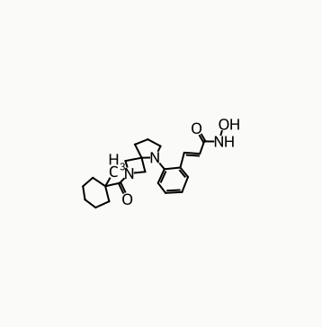 CC1(C(=O)N2CC3(CCCN3c3ccccc3C=CC(=O)NO)C2)CCCCC1